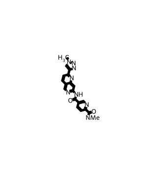 CNC(=O)c1ccc(C(=O)Nc2cc3nc(-c4cn(C)nn4)ccc3cn2)cn1